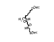 CCCCCCCCCCCCCCCC=C(C)NC(=O)CCC(=O)NCCCCCCCCCCCC